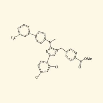 COC(=O)c1ccc(Cn2cc(-c3ccc(Cl)cc3Cl)nc2N(C)c2ccc(-c3cccc(C(F)(F)F)c3)cc2)cc1